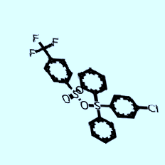 O=S(=O)(OS(c1ccccc1)(c1ccccc1)c1ccc(Cl)cc1)c1ccc(C(F)(F)F)cc1